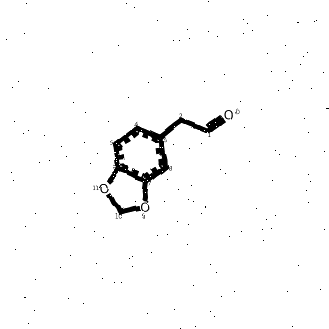 O=CCc1ccc2c(c1)OCO2